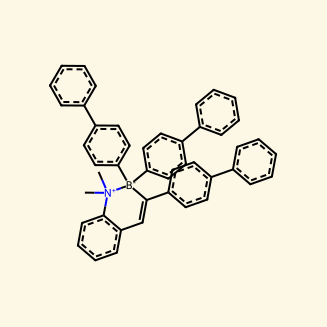 C[N+]1(C)c2ccccc2C=C(c2ccc(-c3ccccc3)cc2)[B-]1(c1ccc(-c2ccccc2)cc1)c1ccc(-c2ccccc2)cc1